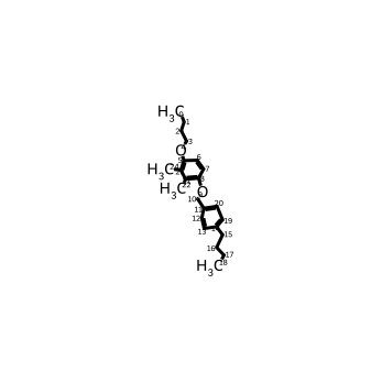 CCCCOc1ccc(OCc2ccc(CCCC)cc2)c(C)c1C